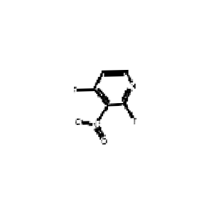 O=[N+]([O-])c1c(F)ccnc1F